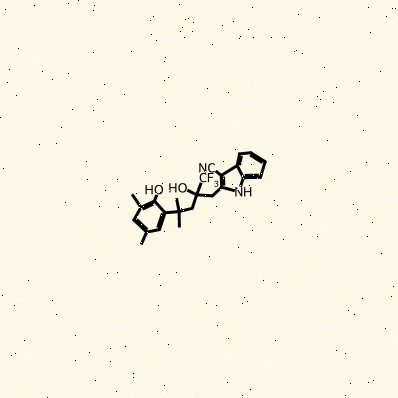 Cc1cc(C)c(O)c(C(C)(C)CC(O)(Cc2[nH]c3ccccc3c2C#N)C(F)(F)F)c1